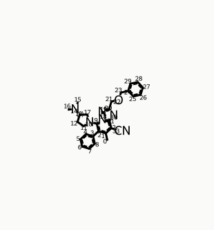 Cc1c(-c2ccccc2)c(N2CC[C@H](N(C)C)C2)n2nc(COCc3ccccc3)nc2c1C#N